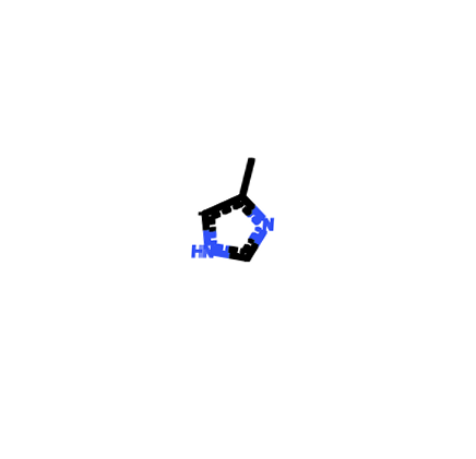 Cc1[c][nH]cn1